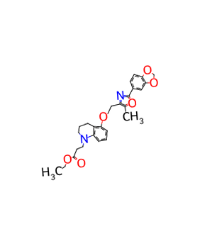 CCOC(=O)CCN1CCCc2c(OCCc3nc(-c4ccc5c(c4)OCO5)oc3C)cccc21